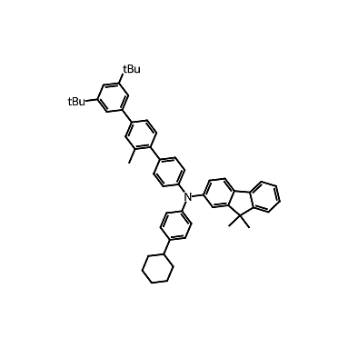 Cc1cc(-c2cc(C(C)(C)C)cc(C(C)(C)C)c2)ccc1-c1ccc(N(c2ccc(C3CCCCC3)cc2)c2ccc3c(c2)C(C)(C)c2ccccc2-3)cc1